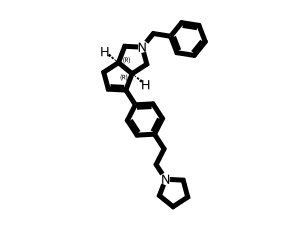 C1=C(c2ccc(CCN3CCCC3)cc2)[C@@H]2CN(Cc3ccccc3)C[C@@H]2C1